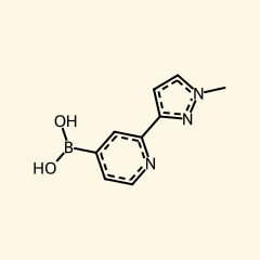 Cn1ccc(-c2cc(B(O)O)ccn2)n1